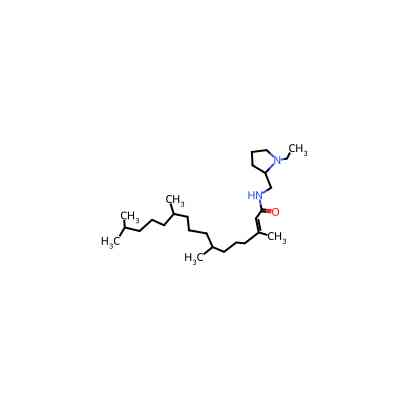 CCN1CCCC1CNC(=O)/C=C(\C)CCCC(C)CCCC(C)CCCC(C)C